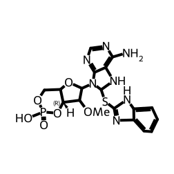 COC1C(N2c3ncnc(N)c3NC2Sc2nc3ccccc3[nH]2)OC2COP(=O)(O)O[C@H]21